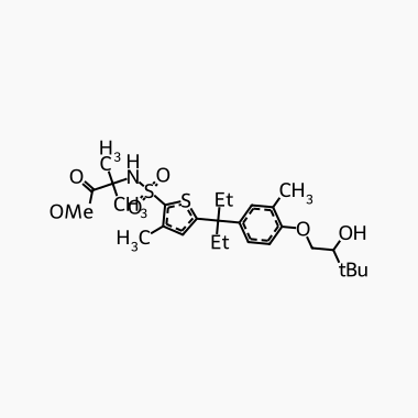 CCC(CC)(c1ccc(OCC(O)C(C)(C)C)c(C)c1)c1cc(C)c(S(=O)(=O)NC(C)(C)C(=O)OC)s1